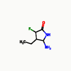 CCC1C(N)NC(=O)C1F